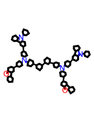 c1ccc(-n2c3ccccc3c3cc(-c4ccc(N(c5ccc(-c6cccc(-c7cccc(-c8ccc(N(c9ccc(-c%10ccc%11oc%12ccccc%12c%11c%10)cc9)c9ccc(-c%10ccc%11c(c%10)c%10ccccc%10n%11-c%10ccccc%10)cc9)cc8)c7)c6)cc5)c5ccc(-c6ccc7oc8ccccc8c7c6)cc5)cc4)ccc32)cc1